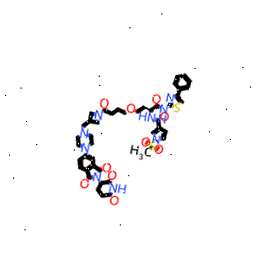 CS(=O)(=O)n1ccc(C(=O)N[C@@H](CCOCCCC(=O)N2CC(CN3CCN(c4ccc5c(c4)C(=O)N(C4CCC(=O)NC4=O)C5=O)CC3)C2)C(=O)Nc2nc(-c3ccccc3)cs2)c1